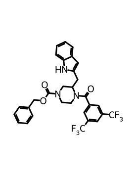 O=C(OCc1ccccc1)N1CCN(C(=O)c2cc(C(F)(F)F)cc(C(F)(F)F)c2)C(Cc2cc3ccccc3[nH]2)C1